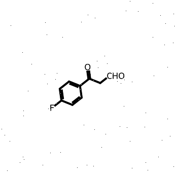 O=CCC(=O)c1ccc(F)cc1